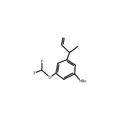 [CH2]C(C=C)c1cc(CCCC)cc(OC(F)F)c1